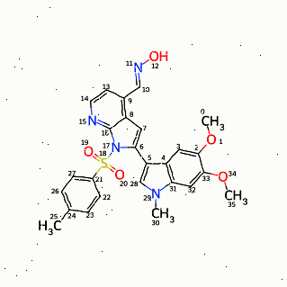 COc1cc2c(-c3cc4c(/C=N/O)ccnc4n3S(=O)(=O)c3ccc(C)cc3)cn(C)c2cc1OC